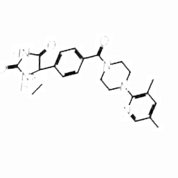 CC[C@]1(c2ccc(C(=O)N3CCN(c4ncc(C)cc4C)CC3)cc2)NC(=O)NC1=O